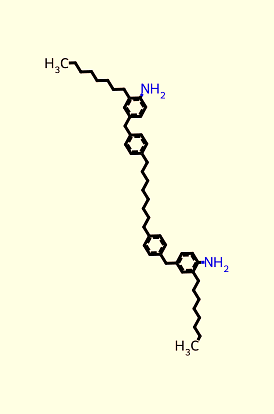 CCCCCCCCc1cc(Cc2ccc(CCCCCCCCc3ccc(Cc4ccc(N)c(CCCCCCCC)c4)cc3)cc2)ccc1N